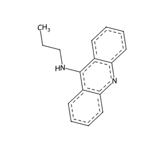 CCCNc1c2ccccc2nc2ccccc12